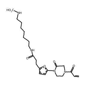 C=CC(=O)N1CCN(c2ccc(CCC(=O)NCCCCCCCNC(=O)O)o2)C(=O)C1